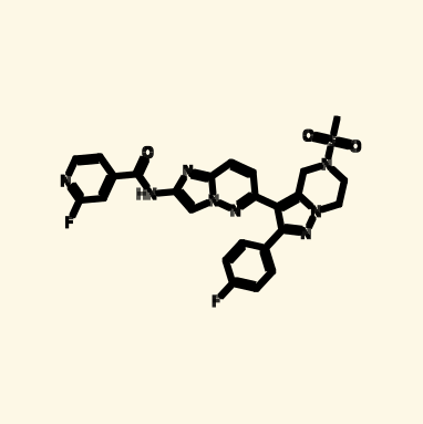 CS(=O)(=O)N1CCn2nc(-c3ccc(F)cc3)c(-c3ccc4nc(NC(=O)c5ccnc(F)c5)cn4n3)c2C1